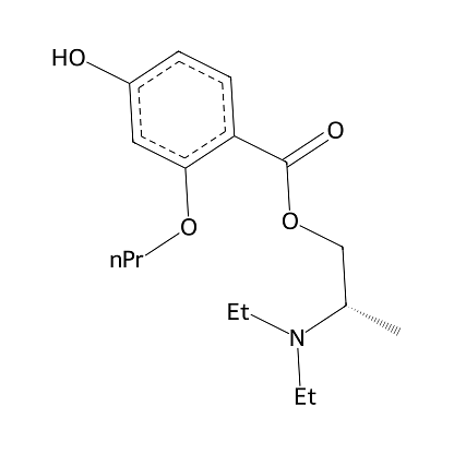 CCCOc1cc(O)ccc1C(=O)OC[C@H](C)N(CC)CC